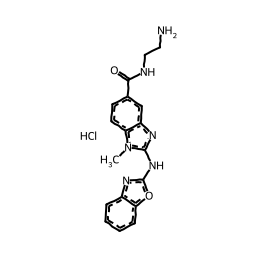 Cl.Cn1c(Nc2nc3ccccc3o2)nc2cc(C(=O)NCCN)ccc21